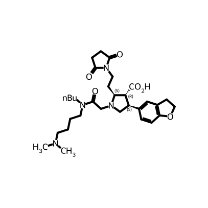 CCCCN(CCCCN(C)C)C(=O)CN1C[C@H](c2ccc3c(c2)CCO3)[C@@H](C(=O)O)[C@@H]1CCN1C(=O)CCC1=O